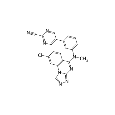 CN(c1cccc(-c2cnc(C#N)nc2)c1)c1nc2nncn2c2cc(Cl)ccc12